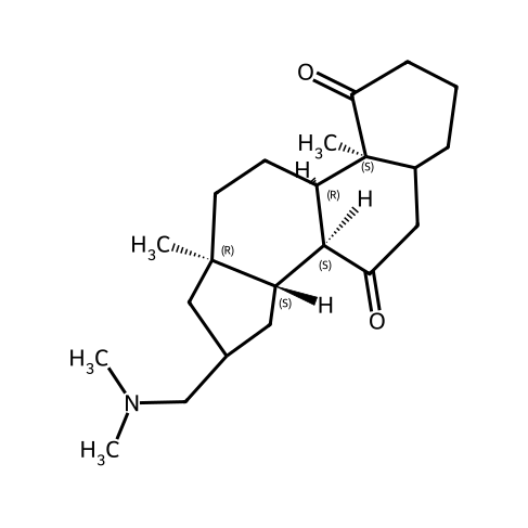 CN(C)CC1C[C@H]2[C@@H]3C(=O)CC4CCCC(=O)[C@]4(C)[C@@H]3CC[C@]2(C)C1